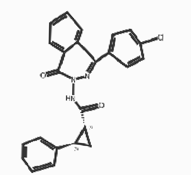 O=C(Nn1nc(-c2ccc(Cl)cc2)c2ccccc2c1=O)[C@@H]1C[C@H]1c1ccccc1